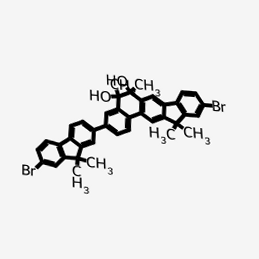 CC1(C)c2cc(Br)ccc2-c2ccc(-c3ccc4c(c3)C(C)(O)C(C)(O)c3cc5c(cc3-4)C(C)(C)c3cc(Br)ccc3-5)cc21